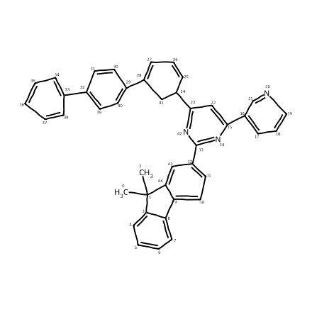 CC1(C)c2ccccc2-c2ccc(-c3nc(-c4cccnc4)cc(C4C=CC=C(c5ccc(-c6ccccc6)cc5)C4)n3)cc21